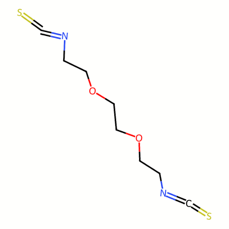 S=C=NCCOCCOCCN=C=S